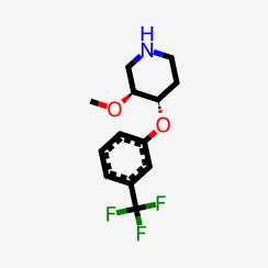 CO[C@H]1CNCC[C@@H]1Oc1cccc(C(F)(F)F)c1